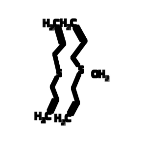 C=CCSCC=C.C=CCSCC=C.O